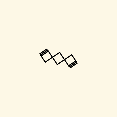 C1#CC2(C1)CC1(C#CC1)C2